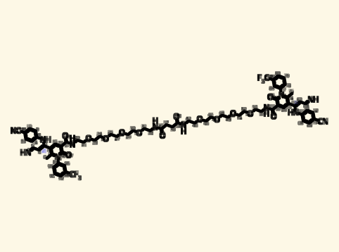 Cc1c(/C(=C/C=N)Nc2ccc(C#N)cc2)cc(C(=O)NCCOCCOCCOCCOCCNC(=O)CCC(=O)NCCOCCOCCOCCOCCNC(=O)c2cc(/C(=C/C=N)Nc3ccc(C#N)cc3)c(C)n(-c3cccc(C(F)(F)F)c3)c2=O)c(=O)n1-c1cccc(C(F)(F)F)c1